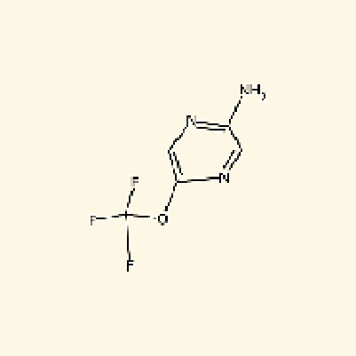 Nc1cnc(OC(F)(F)F)cn1